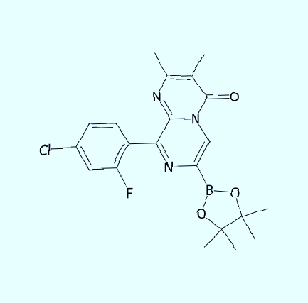 Cc1nc2c(-c3ccc(Cl)cc3F)nc(B3OC(C)(C)C(C)(C)O3)cn2c(=O)c1C